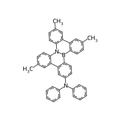 Cc1ccc2c(c1)-c1cc(C)ccc1N1B2c2ccc(N(c3ccccc3)c3ccccc3)cc2-c2cc(C)ccc21